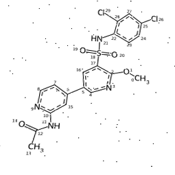 COc1ncc(-c2ccnc(NC(C)=O)c2)cc1S(=O)(=O)Nc1ccc(Cl)cc1Cl